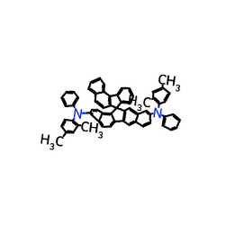 Cc1ccc(N(c2ccccc2)c2ccc3cc4c(cc3c2)C2(c3ccccc3-c3c2ccc2ccccc32)c2c-4ccc3cc(N(c4ccccc4)c4ccc(C)cc4C)ccc23)c(C)c1